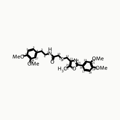 COc1ccc(CCNC(=O)CSCc2nc(-c3ccc(OC)c(OC)c3)oc2C)cc1OC